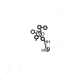 Cc1ccc2c(c1)N(c1ccc(NCCCc3ncc[nH]3)cc1)C(=O)N(Cc1ccccc1-c1ccccc1)N=C2C1CCCCC1